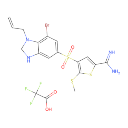 C=CCN1CNc2cc(S(=O)(=O)c3cc(C(=N)N)sc3SC)cc(Br)c21.O=C(O)C(F)(F)F